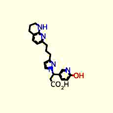 O=C(O)CC(c1ccc(O)nc1)n1ccc(CCCc2ccc3c(n2)NCCC3)n1